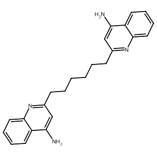 Nc1cc(CCCCCCc2cc(N)c3ccccc3n2)nc2ccccc12